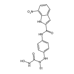 CCN(Nc1ccc(NC(=O)c2cc3cccc([N+](=O)[O-])c3[nH]2)cc1)C(=O)NO